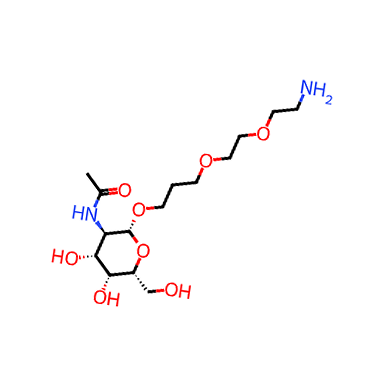 CC(=O)N[C@H]1[C@H](OCCCOCCOCCN)O[C@H](CO)[C@H](O)[C@@H]1O